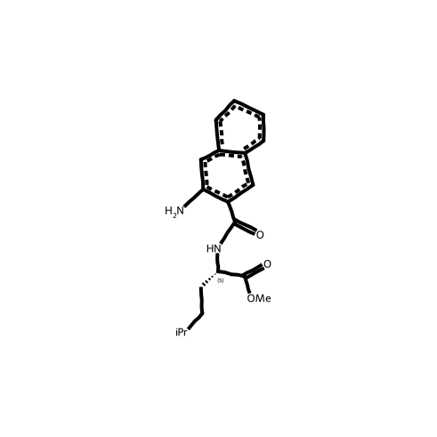 COC(=O)[C@H](CCC(C)C)NC(=O)c1cc2ccccc2cc1N